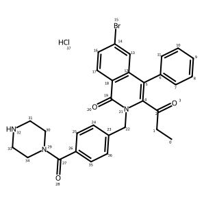 CCC(=O)c1c(-c2ccccc2)c2cc(Br)ccc2c(=O)n1Cc1ccc(C(=O)N2CCNCC2)cc1.Cl